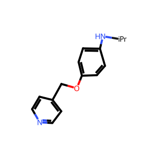 CC(C)Nc1ccc(OCc2ccncc2)cc1